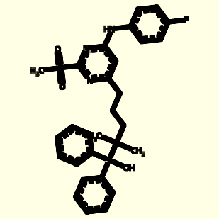 CC(C)(CCCc1cc(Nc2ccc(F)cc2)nc(S(C)(=O)=O)n1)[Si](O)(c1ccccc1)c1ccccc1